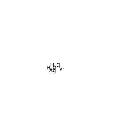 O.O.[Ag].[V]